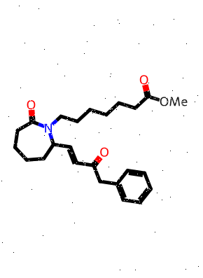 COC(=O)CCCCCCN1C(=O)CCCCC1C=CC(=O)Cc1ccccc1